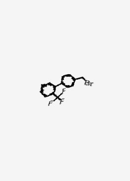 FC(F)(F)c1ccccc1-c1ccc(CBr)cc1